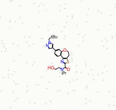 CC(C)N(CCO)C(=O)c1nc2c(s1)CCOc1cc(-c3cnn(CC(C)(C)C)c3)ccc1-2